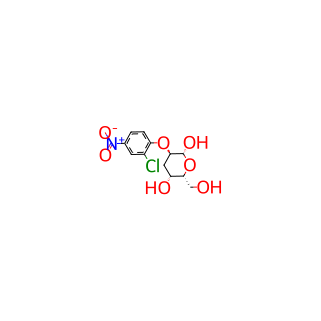 O=[N+]([O-])c1ccc(O[C@@H]2C[C@@H](O)[C@@H](CO)O[C@H]2O)c(Cl)c1